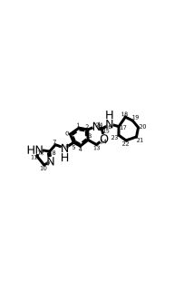 c1cc2c(cc1NCC1=NCCN1)COC(NC1CCCCCC1)=N2